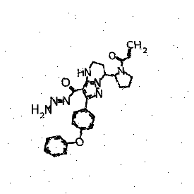 C=CC(=O)N1CCCC1C1CCNc2c(C(=O)N=NN)c(-c3ccc(Oc4ccccc4)cc3)nn21